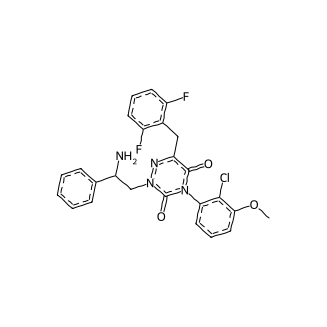 COc1cccc(-n2c(=O)c(Cc3c(F)cccc3F)nn(CC(N)c3ccccc3)c2=O)c1Cl